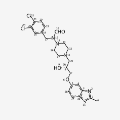 Cc1nc2cc(OC[C@H](O)CN3CCN(N(C=O)Cc4ccc(Cl)c(Cl)c4)CC3)ccc2s1